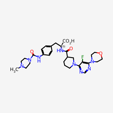 CN1CCN(C(=O)Nc2ccc(C[C@H](NC(=O)C3CCCN(c4ncnc(N5CCOCC5)c4F)C3)C(=O)O)cc2)CC1